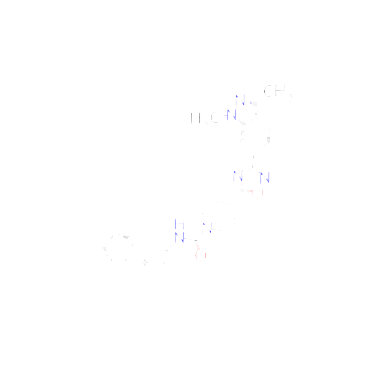 Cc1nn(C)c2cc(-c3noc(C4CCN(C(=O)N[C@@H]5C[C@@H]5c5ccccc5)CC4)n3)ccc12